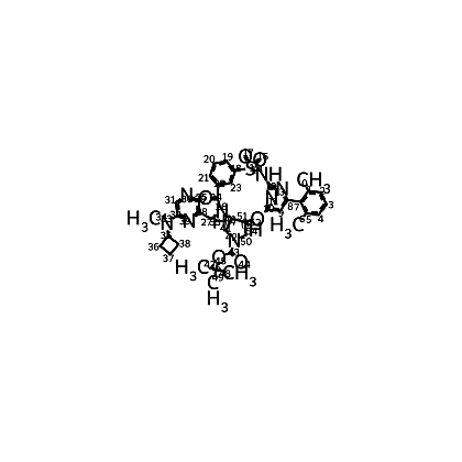 Cc1cccc(C)c1-c1cc2nc(n1)NS(=O)(=O)c1cccc(c1)C(=O)N(Cc1cncc(N(C)C3CCC3)n1)[C@@H]1CN(C(=O)OC(C)(C)C)C[C@H]1O2